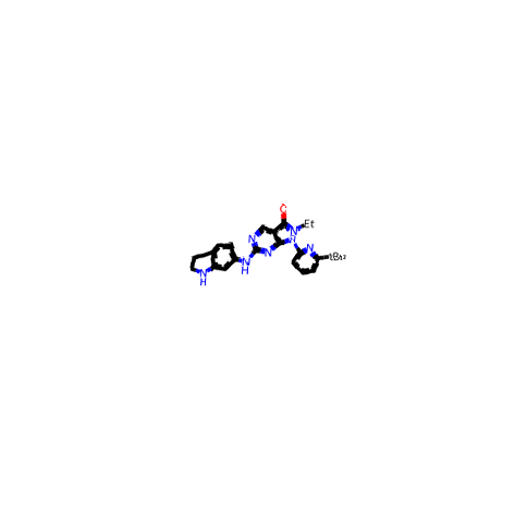 CCn1c(=O)c2cnc(Nc3ccc4c(c3)NCC4)nc2n1-c1cccc(C(C)(C)C)n1